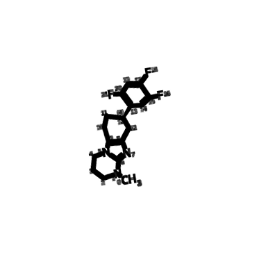 CN1CCCn2c1nc1c2CC[C@@H](c2cc(F)c(F)cc2F)C1